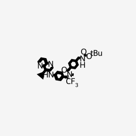 CN(C(=O)C1CCC(CNC(=O)OC(C)(C)C)CC1)[C@@H](c1ccc(Nc2cnc3cccnc3c2C2CC2)cc1)C(F)(F)F